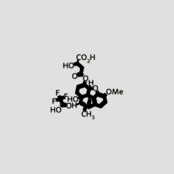 COc1ccc2c3c1O[C@H]1C(OC(=O)C[C@@H](O)C(=O)O)=CC[C@@]4(O)[C@@H](C2)N(C)CC[C@]314.O=C(O)C(F)(F)F